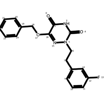 O=c1[nH]c(=O)n(CCc2cccc(F)c2)nc1OCc1ccccc1